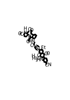 CCc1cc2c(cc1N1CCN(C(=O)CNc3cccc4c(=C=O)n(C5CCC(=C=O)NC5=C=O)c(=C=O)c34)CC1)C(C)(C)c1[nH]c3cc(C#N)ccc3c1C2=C=O